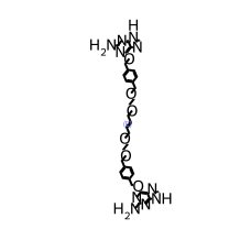 Nc1nc(OCc2ccc(COCCOC/C=C/COCCOCc3ccc(COc4nc(N)nc5[nH]cnc45)cc3)cc2)c2nc[nH]c2n1